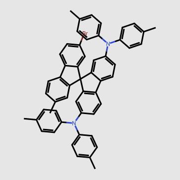 Cc1ccc(N(c2ccc(C)cc2)c2ccc3c(c2)C2(c4cc(C)ccc4-c4ccc(Br)cc42)c2cc(N(c4ccc(C)cc4)c4ccc(C)cc4)ccc2-3)cc1